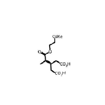 COCCOC(=O)C(C)=C(CC(=O)O)CC(=O)O